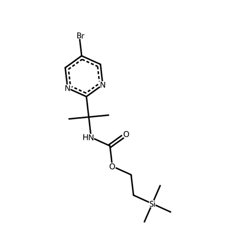 CC(C)(NC(=O)OCC[Si](C)(C)C)c1ncc(Br)cn1